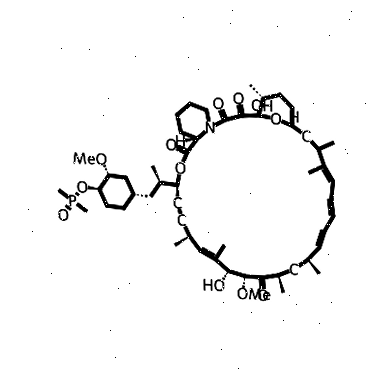 CO[C@@H]1C[C@H](C[C@@H](C)[C@@H]2CC[C@H](C)/C=C(\C)[C@@H](O)[C@@H](OC)C(=O)[C@H](C)C[C@H](C)/C=C/C=C/C=C(\C)C(C)C[C@@H]3CC[C@@H](C)[C@@](O)(O3)C(=O)C(=O)N3CCCC[C@H]3C(=O)O2)CC[C@H]1OP(C)(C)=O